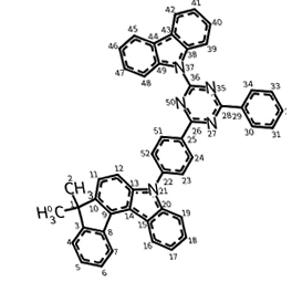 CC1(C)c2ccccc2-c2c1ccc1c2c2ccccc2n1-c1ccc(-c2nc(-c3ccccc3)nc(-n3c4ccccc4c4ccccc43)n2)cc1